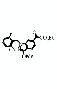 CCOC(=O)C(=O)c1ccc2c(OC)nn(Cc3c(C)cccc3C#N)c2c1